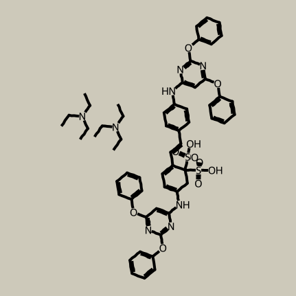 CCN(CC)CC.CCN(CC)CC.O=S(=O)(O)C1(S(=O)(=O)O)CC(Nc2cc(Oc3ccccc3)nc(Oc3ccccc3)n2)=CC=C1C=Cc1ccc(Nc2cc(Oc3ccccc3)nc(Oc3ccccc3)n2)cc1